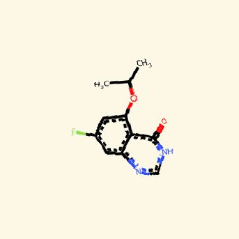 CC(C)Oc1cc(F)cc2nc[nH]c(=O)c12